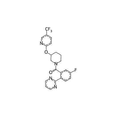 O=C(c1cc(F)ccc1-c1ncccn1)N1CCCC(Oc2ccc(C(F)(F)F)cn2)C1